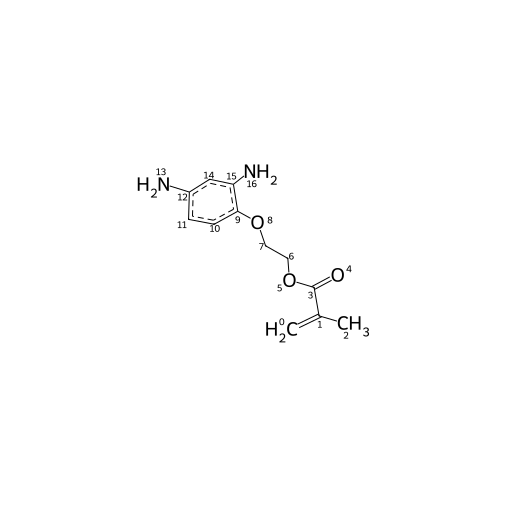 C=C(C)C(=O)OCCOc1ccc(N)cc1N